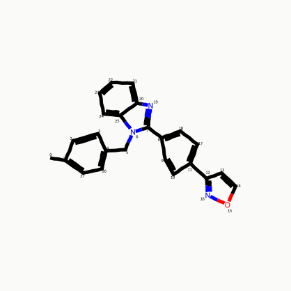 Cc1ccc(Cn2c(-c3ccc(-c4ccon4)cc3)nc3ccccc32)cc1